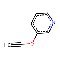 C#COc1cccnc1